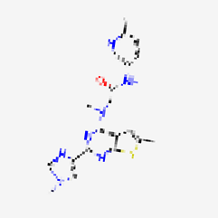 Cc1ccc(NC(=O)CN(C)c2nc(-c3cn(C)cn3)nc3sc(C)c(C)c23)cn1